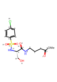 COC(=O)CCCNC(=O)[C@H](CO)NS(=O)(=O)c1ccc(Cl)cc1